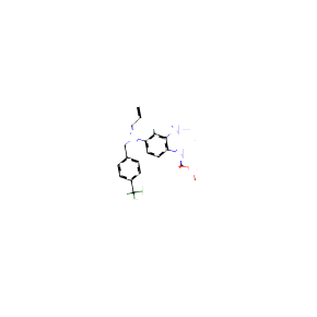 C=CCN(Cc1ccc(C(F)(F)F)cc1)c1ccc(NC(=O)OC)c(N)c1F